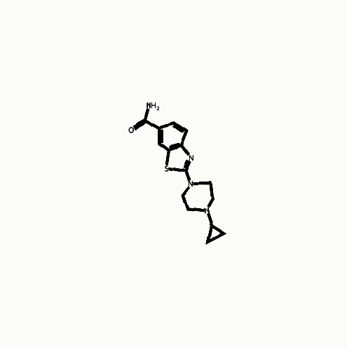 NC(=O)c1ccc2nc(N3CCN(C4CC4)CC3)sc2c1